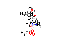 CCc1oc(=O)oc1COC(=O)N[C@@]1(C)[C@@H]2CC[C@]3(C)[C@H](C(=O)C=C4[C@@H]5C[C@@](C)(C(=O)O)CC[C@]5(C)CC[C@]43C)[C@@]2(C)CC[C@@H]1C